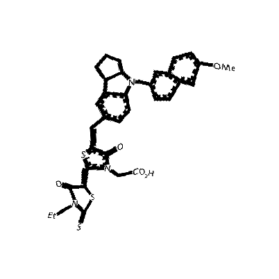 CCN1C(=O)/C(=c2\s/c(=C/c3ccc4c(c3)C3CCCC3N4c3ccc4cc(OC)ccc4c3)c(=O)n2CC(=O)O)SC1=S